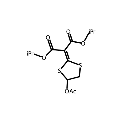 CC(=O)OC1CSC(=C(C(=O)OC(C)C)C(=O)OC(C)C)S1